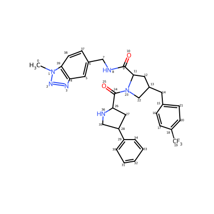 Cn1nnc2cc(CNC(=O)C3CC(Cc4ccc(C(F)(F)F)cc4)CN3C(=O)C3CC(c4ccccc4)CN3)ccc21